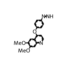 COc1cc2nccc(Oc3ccc(N=N)cc3)c2cc1OC